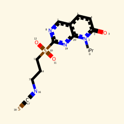 CC(C)n1c(=O)ccc2cnc(S(=O)(=O)CCCN=C=S)nc21